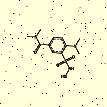 CN(C)C(=O)c1ccc(N(C)C)c(S(=O)(=O)NO)c1